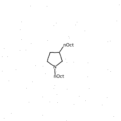 CCCCCCCCC1CCN(CCCCCCCC)C1